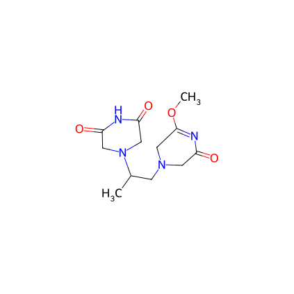 COC1=NC(=O)CN(CC(C)N2CC(=O)NC(=O)C2)C1